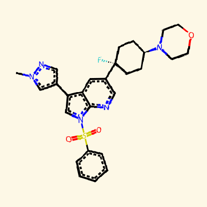 Cn1cc(-c2cn(S(=O)(=O)c3ccccc3)c3ncc([C@]4(F)CC[C@H](N5CCOCC5)CC4)cc23)cn1